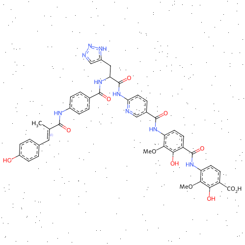 COc1c(NC(=O)c2ccc(NC(=O)c3ccc(NC(=O)C(Cc4cnn[nH]4)NC(=O)c4ccc(NC(=O)/C(C)=C/c5ccc(O)cc5)cc4)nc3)c(OC)c2O)ccc(C(=O)O)c1O